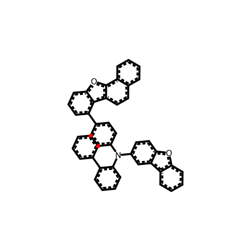 c1ccc(-c2ccccc2N(c2ccc(-c3cccc4oc5c6ccccc6ccc5c34)cc2)c2ccc3oc4ccccc4c3c2)cc1